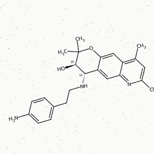 Cc1cc(Cl)nc2cc3c(cc12)OC(C)(C)[C@H](O)[C@H]3NCCc1ccc(N)cc1